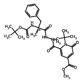 COC(=O)c1cc(C(=O)NNC(=O)[C@@](C)(Cc2ccccc2)NC(=O)OC(C)(C)C)n(C(C)(C)C)c(=O)c1